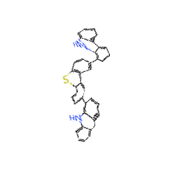 c1ccc2c(c1)[nH]c1c(-c3ccc4sc5ccc(-c6cccc7c6[nH]c6ccccc67)cc5c4c3)cccc12